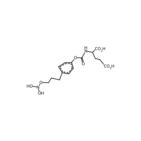 O=C(O)CCC(NC(=O)Oc1ccc(CCCON(O)O)cc1)C(=O)O